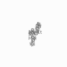 CCN(C(=O)Cn1nc(-c2ccc(OCc3ccccc3)c(F)c2)c2[nH]cnc2c1=O)c1ccc2c(c1)OC(F)(F)O2